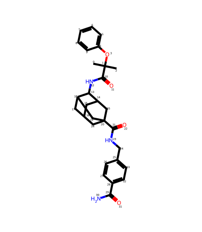 CC(C)(Oc1ccccc1)C(=O)NC1C2CC3CC1CC(C(=O)NCc1ccc(C(N)=O)cc1)(C3)C2